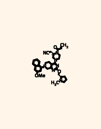 C=CC(=O)N1CCN(c2nc(OC[C@@H]3CCCN3C)nc3c2CCN(c2cc(OC)cc4ccccc24)C3)C[C@@H]1CC#N